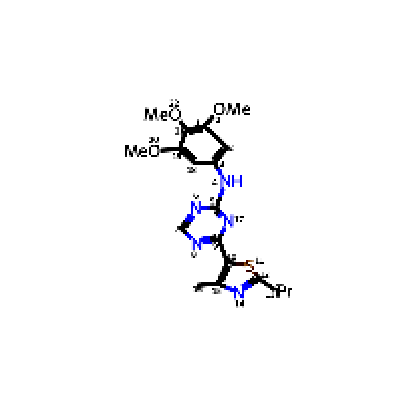 COc1cc(Nc2ncnc(-c3sc(C(C)C)nc3C)n2)cc(OC)c1OC